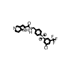 O=C(NCc1ccc(S(=O)(=O)c2cc(Cl)cc(C(F)(F)F)c2)cc1)c1cc2cnccc2[nH]1